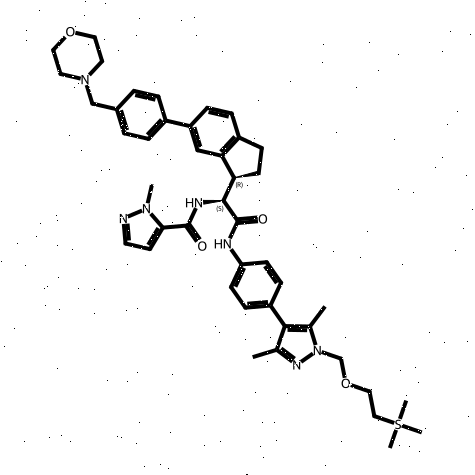 Cc1nn(COCCS(C)(C)C)c(C)c1-c1ccc(NC(=O)[C@@H](NC(=O)c2ccnn2C)[C@@H]2CCc3ccc(-c4ccc(CN5CCOCC5)cc4)cc32)cc1